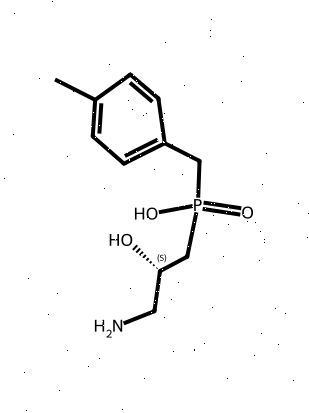 Cc1ccc(CP(=O)(O)C[C@@H](O)CN)cc1